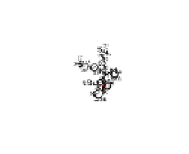 CC(C)(C)OC(=O)N1C2C=C(c3cc(N(COCC[Si](C)(C)C)COCC[Si](C)(C)C)n4nccc4n3)CC1CSC2